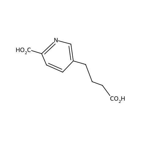 O=C(O)CCCc1ccc(C(=O)O)nc1